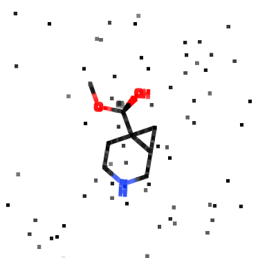 CO[C@@H](O)C12CCNCC1C2